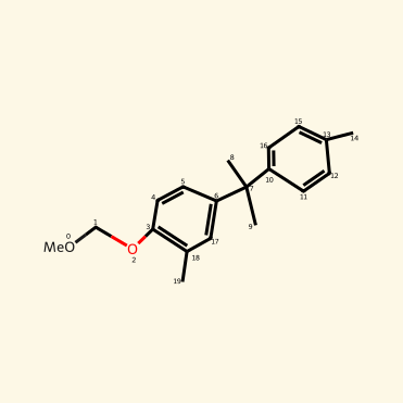 COCOc1ccc(C(C)(C)c2ccc(C)cc2)cc1C